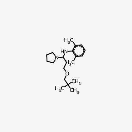 Cc1cccc(C)c1NC(CCOCC(C)(C)C)N1CCCC1